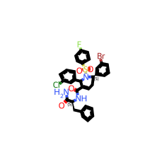 NC(=O)[C@H](Cc1ccccc1)NC(=O)C1=CC[C@@H](c2cccc(Br)c2)N(S(=O)(=O)c2ccc(F)cc2)C1c1cccc(Cl)c1